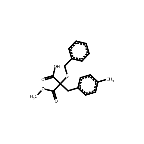 COC(=O)C(Cc1ccc(C)cc1)(SCc1ccccc1)C(=O)O